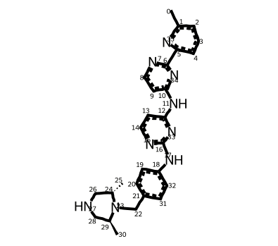 Cc1cccc(-c2nccc(Nc3ccnc(Nc4ccc(CN5[C@@H](C)CNC[C@@H]5C)cc4)n3)n2)n1